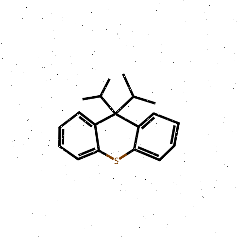 CC(C)C1(C(C)C)c2ccccc2Sc2ccccc21